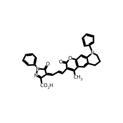 Cc1c(/C=C/C=C2\C(=O)N(c3ccccc3)N=C2C(=O)O)c(=O)oc2cc3c(cc12)CCCN3c1ccccc1